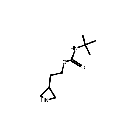 CC(C)(C)NC(=O)OCCC1CNC1